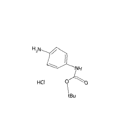 CC(C)(C)OC(=O)Nc1ccc(N)cc1.Cl